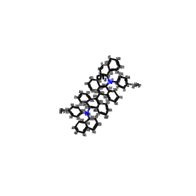 CC(C)c1ccc(N(c2cccc3ccccc23)c2c3c(c(-c4c5ccccc5c(N(c5ccc(C(C)C)cc5)c5cccc6ccccc56)c5ccccc45)c4ccccc24)C=CCC3C)cc1